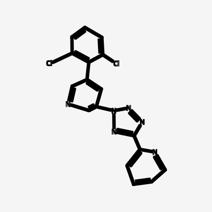 Clc1cccc(Cl)c1-c1cncc(-n2nnc(-c3ccccn3)n2)c1